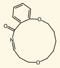 O=C1N=CCCOCCCCCOc2ccccc21